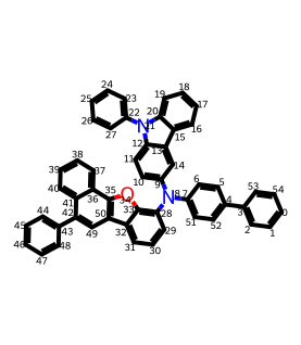 c1ccc(-c2ccc(N(c3ccc4c(c3)c3ccccc3n4-c3ccccc3)c3cccc4c3oc3c5ccccc5c(-c5ccccc5)cc43)cc2)cc1